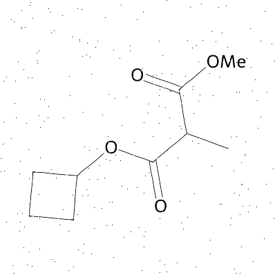 COC(=O)C(C)C(=O)OC1CCC1